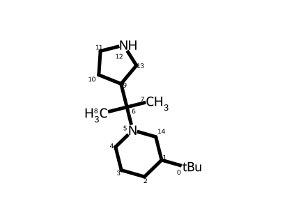 CC(C)(C)C1CCCN(C(C)(C)C2CCNC2)C1